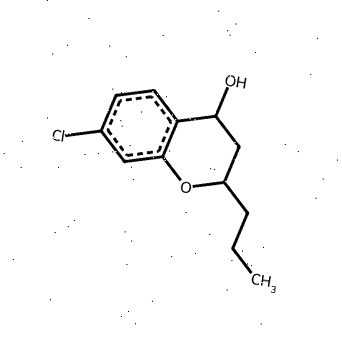 CCCC1CC(O)c2ccc(Cl)cc2O1